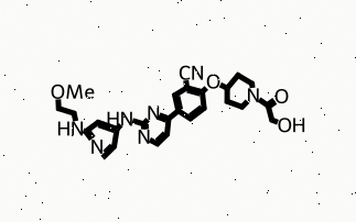 COCCNc1cc(Nc2nccc(-c3ccc(OC4CCN(C(=O)CO)CC4)c(C#N)c3)n2)ccn1